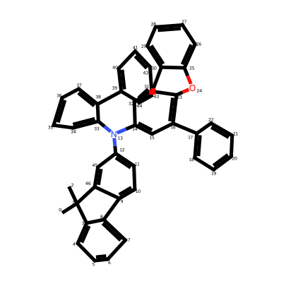 CC1(C)c2ccccc2-c2ccc(N(c3cc(-c4ccccc4)c4oc5ccccc5c4c3)c3ccccc3-c3ccccc3)cc21